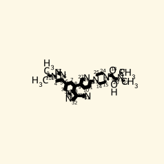 CC(C)n1cc(-c2cc(-c3ccc(N4CCN(C(=O)[C@H](O)N(C)C)CC4)nc3)c3c(C#N)cnn3c2)nn1